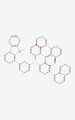 CC1(C)c2ccccc2-c2cccc(-c3cccc(N(c4ccc(-c5cccc6ccccc56)cc4)c4ccccc4C4=c5c(-c6ccccc6)cccc5=CCC4)c3)c21